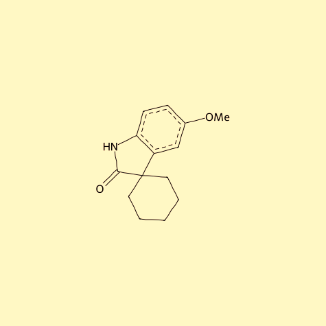 COc1ccc2c(c1)C1(CCCCC1)C(=O)N2